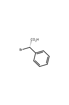 O=C(O)[C@@H](Br)c1ccccc1